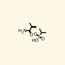 C=C(C)C(N)=O.CC(C)S(=O)(=O)O